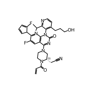 C=CC(=O)N1CCN(c2nc(=O)n(-c3c(CCCO)ccnc3C(C)C)c3nc(C4C=CC=C4F)c(F)cc23)C[C@@H]1CC#N